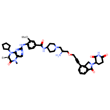 CC[C@@H]1C(=O)N(C)c2cnc(Nc3ccc(C(=O)NC4CCN(C[C@H](N)COCC#Cc5cccc6c5CN(C5CCC(=O)NC5=O)C6=O)CC4)cc3OC)nc2N1C1CCCC1